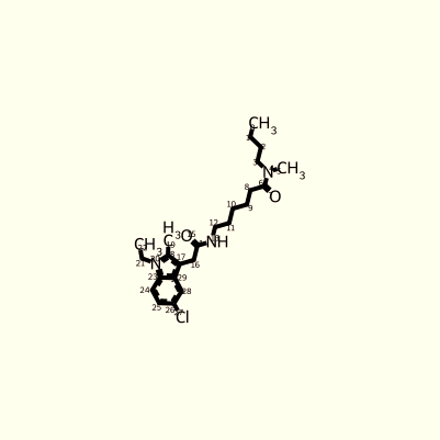 CCCCN(C)C(=O)CCCCCNC(=O)Cc1c(C)n(CC)c2ccc(Cl)cc12